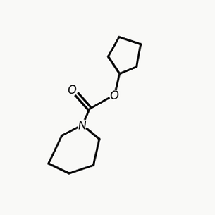 O=C(OC1CCCC1)N1CCCCC1